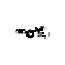 CC(C)C(Oc1cccc(C=O)c1)C(=O)O